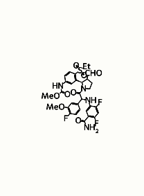 CCS(=O)(=O)c1ccc(NC(=O)OC)cc1[C@H]1[C@@H](C=O)CCN1C(=O)[C@@H](Nc1cc(C(N)=O)c(F)cc1F)c1ccc(F)c(OC)c1